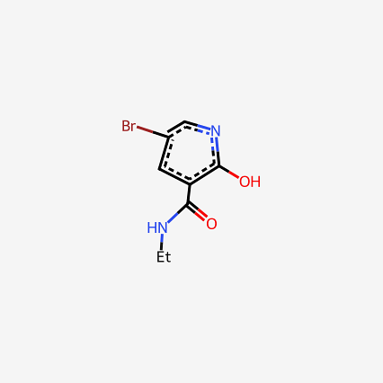 CCNC(=O)c1cc(Br)cnc1O